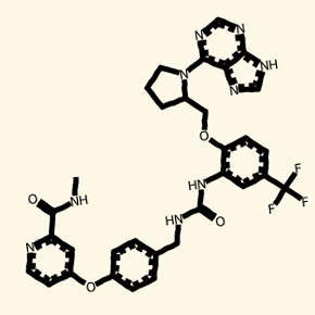 CNC(=O)c1cc(Oc2ccc(CNC(=O)Nc3cc(C(F)(F)F)ccc3OCC3CCCN3c3ncnc4[nH]cnc34)cc2)ccn1